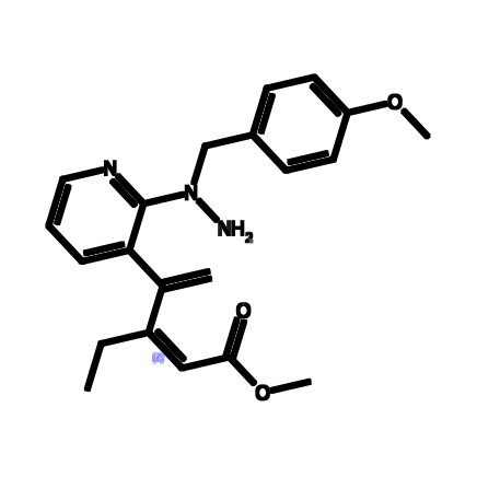 C=C(/C(=C\C(=O)OC)CC)c1cccnc1N(N)Cc1ccc(OC)cc1